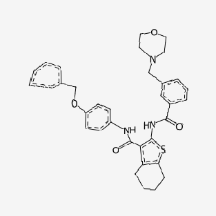 O=C(Nc1sc2c(c1C(=O)Nc1ccc(OCc3ccccc3)cc1)CCCC2)c1cccc(CN2CCOCC2)c1